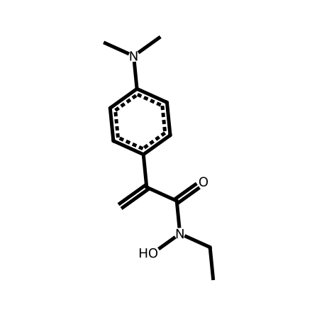 C=C(C(=O)N(O)CC)c1ccc(N(C)C)cc1